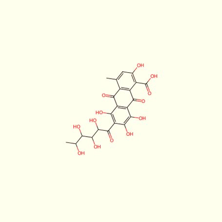 Cc1cc(O)c(C(=O)O)c2c1C(=O)c1c(O)c(C(=O)C(O)C(O)C(O)C(C)O)c(O)c(O)c1C2=O